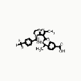 Cc1nn2c(c1C(=O)NC(C)c1ccc(C(=O)O)cc1)N(C(C)c1ccc(C(F)(F)F)cc1)CC2